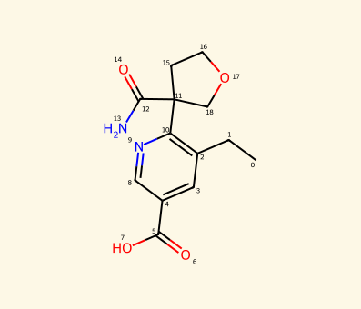 CCc1cc(C(=O)O)cnc1C1(C(N)=O)CCOC1